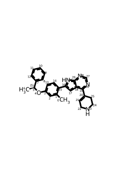 Cc1cc(O[C@@H](C)c2ccccc2)ccc1-c1cc2c(C3=CCNCC3)ncnc2[nH]1